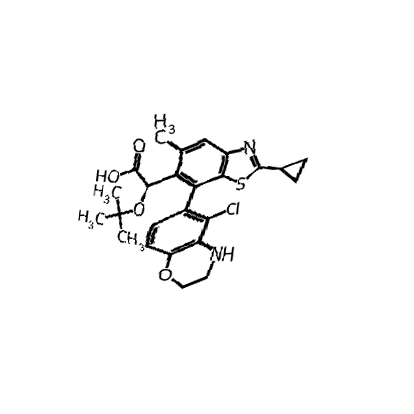 Cc1cc2nc(C3CC3)sc2c(-c2ccc3c(c2Cl)NCCO3)c1[C@@H](OC(C)(C)C)C(=O)O